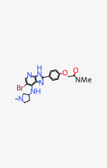 CNC(=O)COc1ccc(-c2nc3c(N[C@H]4CCN(C)C4)c(Br)cnc3[nH]2)cc1